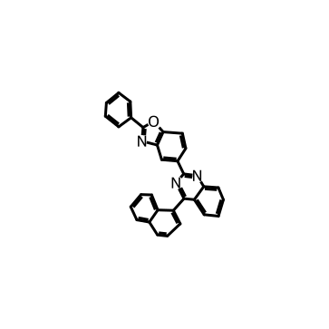 c1ccc(-c2nc3cc(-c4nc(-c5cccc6ccccc56)c5ccccc5n4)ccc3o2)cc1